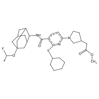 COC(=O)CC1CCN(c2ccc(C(=O)NC3C4CC5CC3CC(OC(F)F)(C5)C4)c(SC3CCCCC3)n2)C1